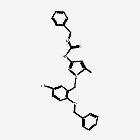 Cc1cc(NC(=O)OCc2ccccc2)nn1Cc1cc(Cl)ccc1OCc1ccccc1